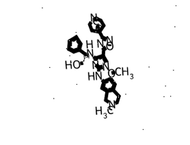 COc1cc2c(cc1Nc1ncc(-c3nc(C45CCN(CC4)CC5)no3)c(N[C@H](CO)c3ccccc3)n1)CN(C)CC2